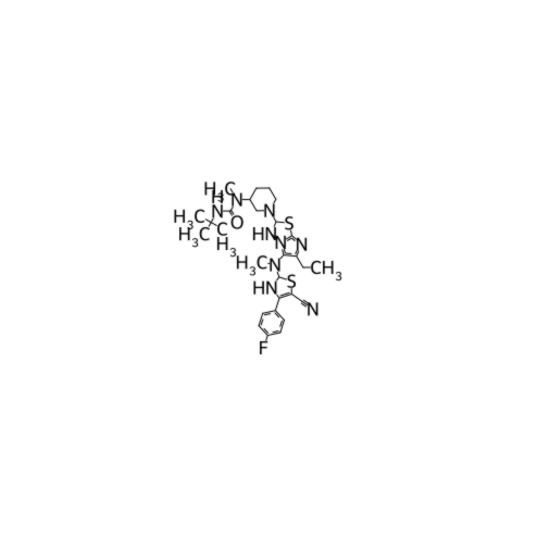 CCc1nc2n(c1N(C)C1NC(c3ccc(F)cc3)=C(C#N)S1)NC(N1CCCC(N(C)C(=O)NC(C)(C)C)C1)S2